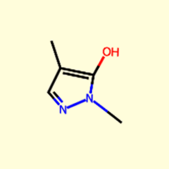 Cc1cnn(C)c1O